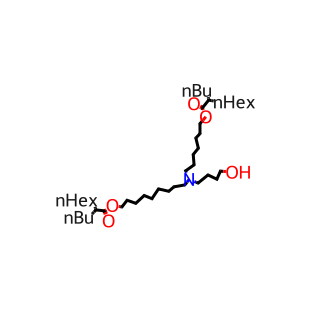 CCCCCCC(CCCC)C(=O)OCCCCCCCCCN(CCCCO)CCCCCCCOC(=O)C(CCCC)CCCCCC